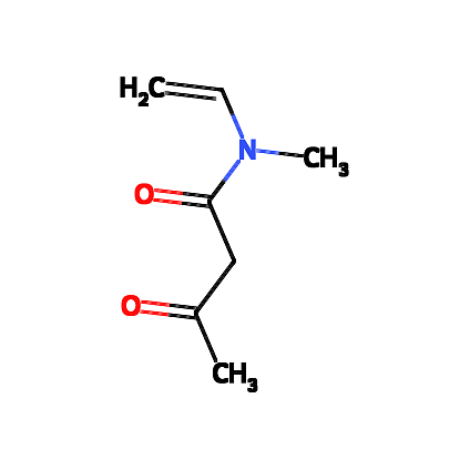 C=CN(C)C(=O)CC(C)=O